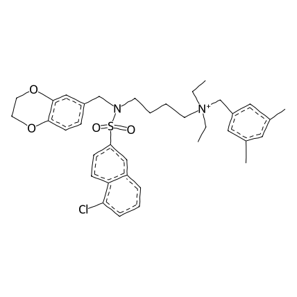 CC[N+](CC)(CCCCN(Cc1ccc2c(c1)OCCO2)S(=O)(=O)c1ccc2c(Cl)cccc2c1)Cc1cc(C)cc(C)c1